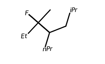 CCCC(CC(C)C)C(C)(F)CC